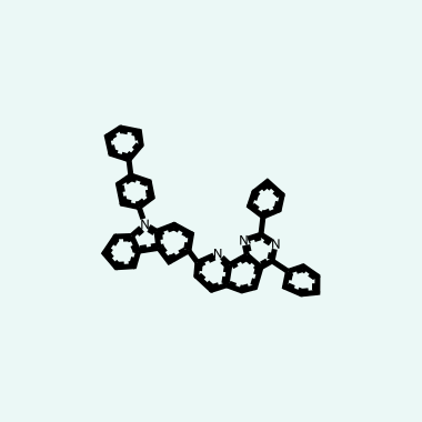 c1ccc(-c2ccc(-n3c4ccccc4c4cc(-c5ccc6ccc7c(-c8ccccc8)nc(-c8ccccc8)nc7c6n5)ccc43)cc2)cc1